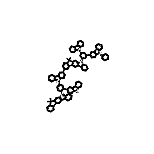 CC1(C)c2ccc(-c3ccc4c(c3)c3ccccc3n4-c3ccc(-n4c5ccccc5c5cc6c(cc54)C(C)(C)c4ccccc4-6)c(-c4ccc5sc6ccccc6c5c4)c3)cc2-c2cc3c4ccccc4n(-c4cc(-c5ccc6c(c5)c5ccccc5n6-c5ccccc5)cc(-n5c6ccccc6c6ccccc65)c4)c3cc21